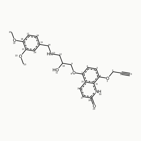 C#CCOc1ccc(OCC(O)CNCc2ccc(OC)c(OC)c2)c2ccc(=O)[nH]c12